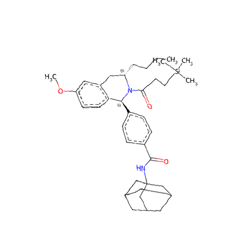 CCCC[C@H]1Cc2cc(OC)ccc2[C@H](c2ccc(C(=O)NC34CC5CC(CC(C5)C3)C4)cc2)N1C(=O)CC[Si](C)(C)C